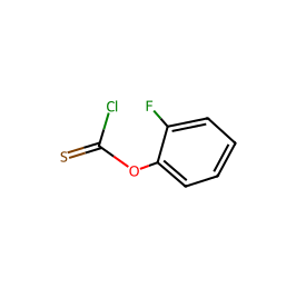 Fc1ccccc1OC(=S)Cl